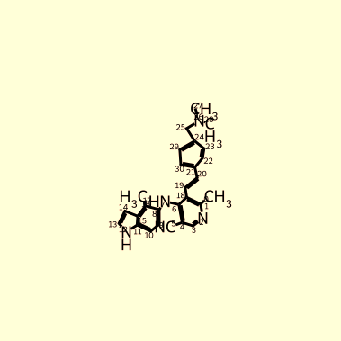 Cc1ncc(C#N)c(Nc2ccc3[nH]ccc3c2C)c1C=Cc1ccc(CN(C)C)cc1